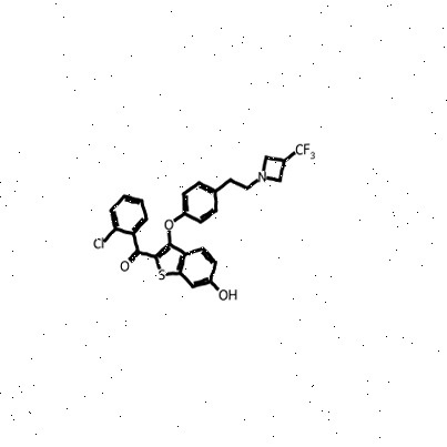 O=C(c1ccccc1Cl)c1sc2cc(O)ccc2c1Oc1ccc(CCN2CC(C(F)(F)F)C2)cc1